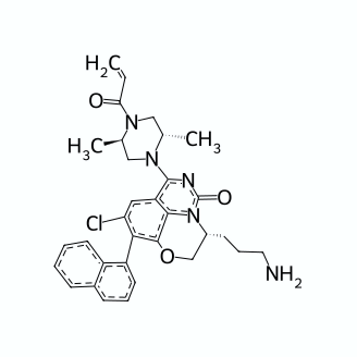 C=CC(=O)N1C[C@H](C)N(c2nc(=O)n3c4c(c(-c5cccc6ccccc56)c(Cl)cc24)OC[C@H]3CCCN)C[C@H]1C